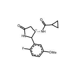 COc1ccc(F)c(C2NC(=O)C[C@@H]2NC(=O)C2CC2)c1